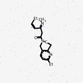 CC/C=C\C(CC(=O)N1CCc2nc(CC)ccc2C1)=N/C